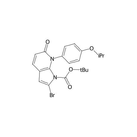 CC(C)Oc1ccc(-n2c(=O)ccc3cc(Br)n(C(=O)OC(C)(C)C)c32)cc1